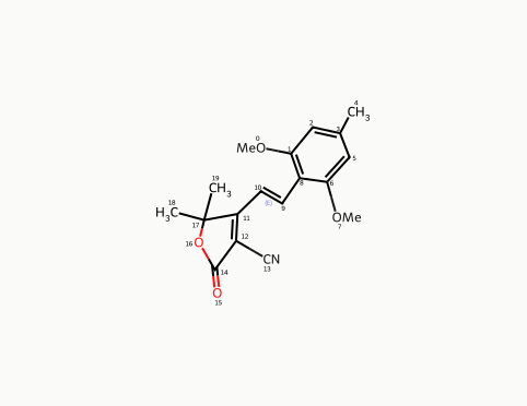 COc1cc(C)cc(OC)c1/C=C/C1=C(C#N)C(=O)OC1(C)C